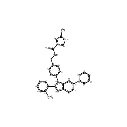 N#Cc1nc(C(=O)NCc2ccc(-n3c(-c4cccnc4N)nc4ccc(-c5ccccc5)nc43)cc2)cs1